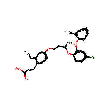 CCc1cc(OCCC(C)Oc2ccc(Cl)cc2Oc2ccccc2C)ccc1CCC(=O)O